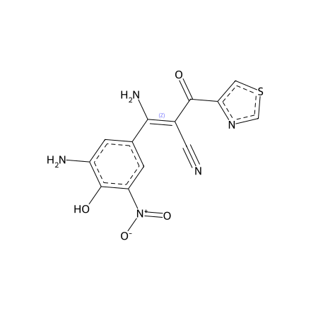 N#C/C(C(=O)c1cscn1)=C(/N)c1cc(N)c(O)c([N+](=O)[O-])c1